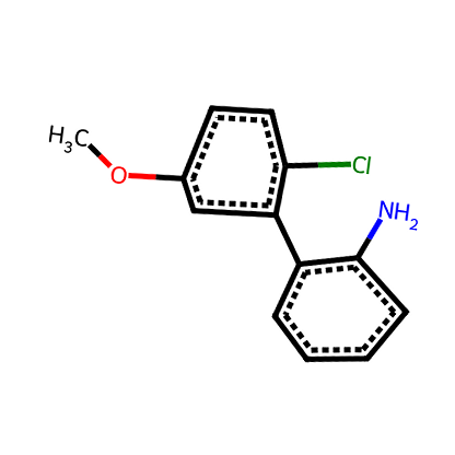 COc1ccc(Cl)c(-c2ccccc2N)c1